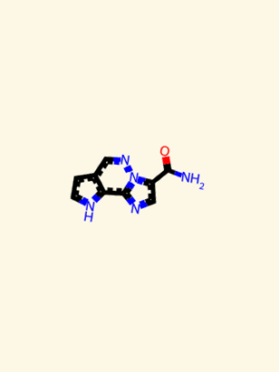 NC(=O)c1cnc2c3[nH]ccc3cnn12